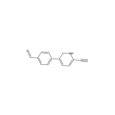 C#CC1=CC=C(c2ccc(C=O)cc2)CN1